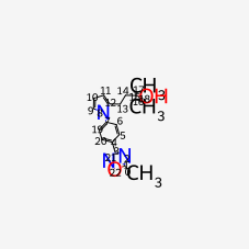 Cc1nc(-c2ccc(-n3cccc3CCC(C)(C)O)cc2)no1